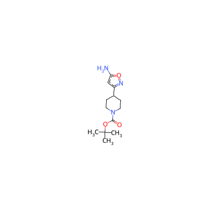 CC(C)(C)OC(=O)N1CCC(c2cc(N)on2)CC1